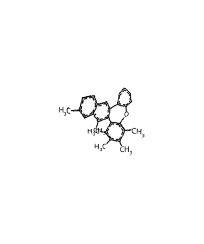 Cc1ccc2cc3c(c(C)c2c1)-c1c(C)c(C)c(C)c(C)c1Oc1ccccc1-3